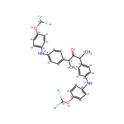 CC(C(=O)C(C)c1ccc(Nc2ccc(OC(F)F)cc2)cc1)c1ccc(Nc2ccc(OC(F)F)cc2)cc1